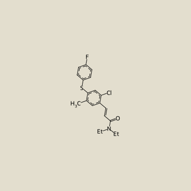 CCN(CC)C(=O)C=Cc1cc(C)c(Sc2ccc(F)cc2)cc1Cl